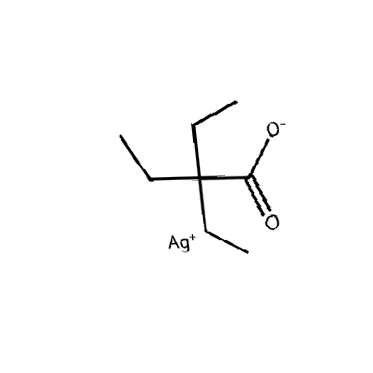 CCC(CC)(CC)C(=O)[O-].[Ag+]